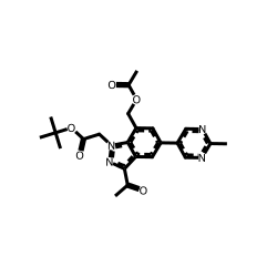 CC(=O)OCc1cc(-c2cnc(C)nc2)cc2c(C(C)=O)nn(CC(=O)OC(C)(C)C)c12